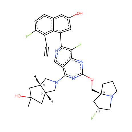 C#Cc1c(F)ccc2cc(O)cc(-c3ncc4c(N5C[C@@H]6CC(C)(O)C[C@@H]6C5)nc(OC[C@@]56CCCN5C[C@H](F)C6)nc4c3F)c12